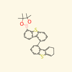 CC1(C)OB(c2cccc3c2sc2cccc(-c4cccc5sc6c(c45)=CCCC=6)c23)OC1(C)C